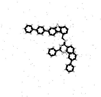 N/C(=N\C(=N/Cc1cccc2oc3cc(-c4ccc(-c5ccccc5)cc4)ccc3c12)c1ccc2ccc(-c3ccccc3)cc2c1)c1ccccc1